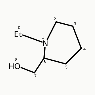 CCN1CCCCC1CO